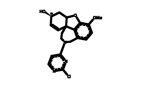 COc1ccc2c3c1OC1C[C@@H](O)C=CC31CCN(c1ccnc(Cl)n1)C2